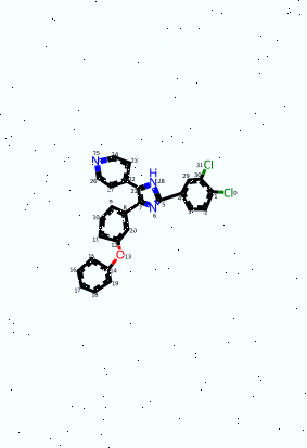 Clc1ccc(-c2nc(-c3cccc(Oc4ccccc4)c3)c(-c3ccncc3)[nH]2)cc1Cl